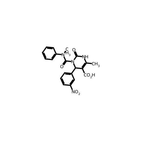 CC1=C(C(=O)O)C(c2cccc([N+](=O)[O-])c2)N(C(=O)N(C)c2ccccc2)C(=O)N1